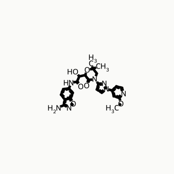 COc1cc(-n2ccc(N3CC(C)(C)OC(C(O)C(=O)Nc4ccc5c(N)noc5c4)C3=O)n2)ccn1